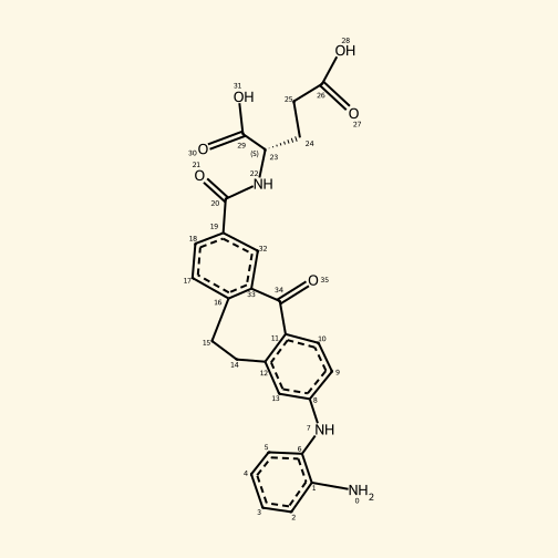 Nc1ccccc1Nc1ccc2c(c1)CCc1ccc(C(=O)N[C@@H](CCC(=O)O)C(=O)O)cc1C2=O